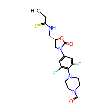 CCC(=S)NC[C@H]1CN(c2cc(F)c(N3CCN(C=O)CC3)c(F)c2)C(=O)O1